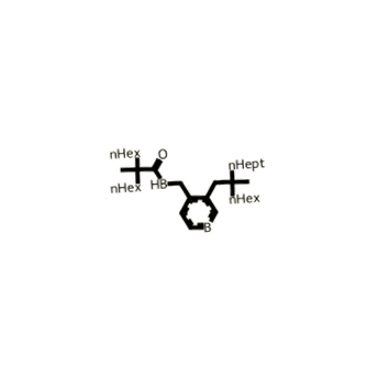 CCCCCCCC(C)(CCCCCC)Cc1cbccc1CBC(=O)C(C)(CCCCCC)CCCCCC